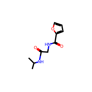 CC(C)NC(=O)CNC(=O)c1ccco1